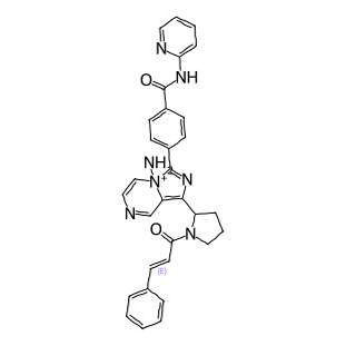 N[N+]12C=CN=CC1=C(C1CCCN1C(=O)/C=C/c1ccccc1)N=C2c1ccc(C(=O)Nc2ccccn2)cc1